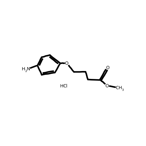 COC(=O)CCCOc1ccc(N)cc1.Cl